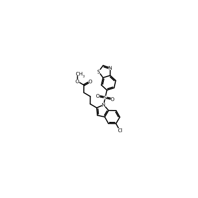 COC(=O)CCCc1cc2cc(Cl)ccc2n1S(=O)(=O)c1ccc2ncsc2c1